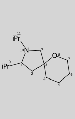 CC(C)C1CC2(CCCCO2)CN1C(C)C